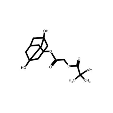 CCCC(C)(C)C(=O)OCC(=O)OC12CC3CC(O)(CC(O)(C3)C1)C2